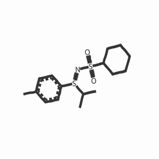 Cc1ccc(S(=NS(=O)(=O)C2CCCCC2)C(C)C)cc1